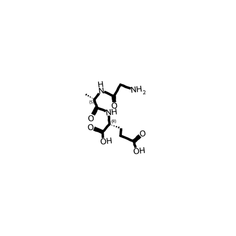 C[C@H](NC(=O)CN)C(=O)N[C@H](CCC(=O)O)C(=O)O